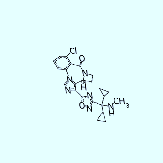 CNC(c1noc(-c2ncn3c2[C@@H]2CCN2C(=O)c2c(Cl)cccc2-3)n1)(C1CC1)C1CC1